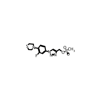 CS(=O)(=O)OCc1cn(-c2ccc(N3CCSCC3)c(F)c2)nn1